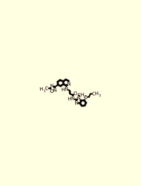 CCCOc1cccc2nc(NC(=O)C=CNc3nccc4ccc(-c5noc(C)n5)cc34)n(C)c12